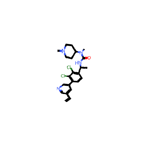 C=Cc1cncc(-c2ccc(C(C)NC(=O)N(C)C3CCN(C)CC3)c(Cl)c2Cl)c1